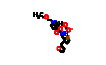 CCOCC[N+]12CCC(CC1)[C@@H](OC(=O)NCc1sccc1Cc1ccco1)C2.O=C[O-]